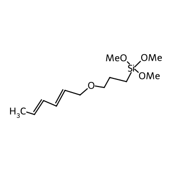 CC=CC=CCOCCC[Si](OC)(OC)OC